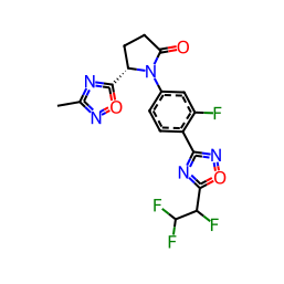 Cc1noc([C@@H]2CCC(=O)N2c2ccc(-c3noc(C(F)C(F)F)n3)c(F)c2)n1